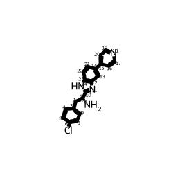 N[C@@H](Cc1ccc(Cl)cc1)c1nc2cc(-c3ccncc3)ccc2[nH]1